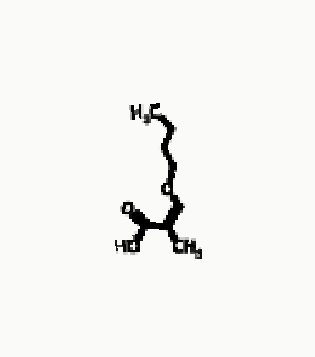 CCCCOC=C(C)C(=O)O